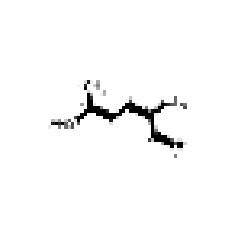 CS/C(C)=C/C=C(\C=N)C(F)(F)F